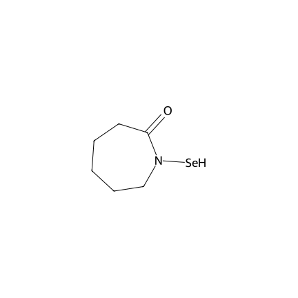 O=C1CCCCCN1[SeH]